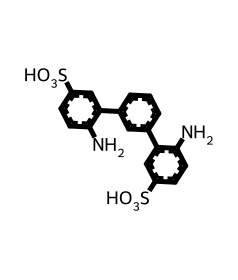 Nc1ccc(S(=O)(=O)O)cc1-c1cccc(-c2cc(S(=O)(=O)O)ccc2N)c1